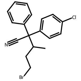 CC(CCBr)C(C#N)(c1ccccc1)c1ccc(Cl)cc1